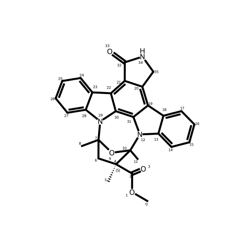 COC(=O)[C@@]1(C)CC2(C)OC1(C)n1c3ccccc3c3c4c(c5c6ccccc6n2c5c31)C(=O)NC4